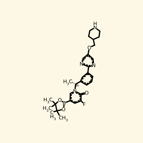 C[C@H](c1cccc(-c2ncc(OCC3CCNCC3)cn2)c1)n1cc(B2OC(C)(C)C(C)(C)O2)cc(F)c1=O